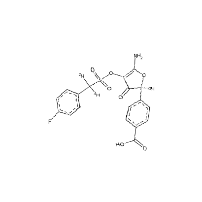 [2H]C([2H])(c1ccc(F)cc1)S(=O)(=O)OC1=C(N)O[C@@]([2H])(c2ccc(C(=O)O)cc2)C1=O